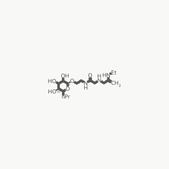 C=C(CNCC(=O)NCCO[C@H]1OC(CCC)[C@@H](O)C(O)C1O)NCC